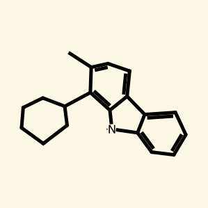 Cc1ccc2c(c1C1CCCCC1)[N]c1ccccc1-2